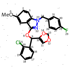 COc1ccc2c(c1)c(OC(C1=COCO1)c1ccccc1Cl)nn2Cc1ccc(F)cc1